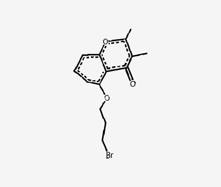 Cc1oc2cccc(OCCCBr)c2c(=O)c1C